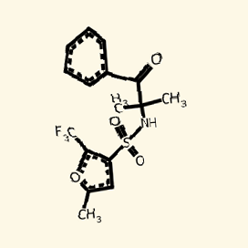 Cc1cc(S(=O)(=O)NC(C)(C)C(=O)c2ccccc2)c(C(F)(F)F)o1